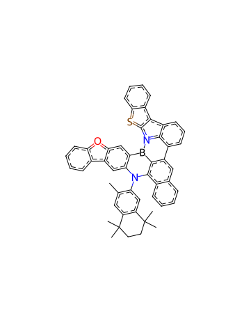 Cc1cc2c(cc1N1c3cc4c(cc3B3c5c(cc6ccccc6c51)-c1cccc5c6c7ccccc7sc6n3c15)oc1ccccc14)C(C)(C)CCC2(C)C